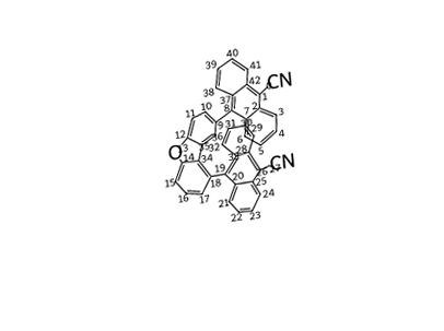 N#Cc1c2ccccc2c(-c2ccc3oc4cccc(-c5c6ccccc6c(C#N)c6ccccc56)c4c3c2)c2ccccc12